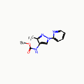 CC(C)(C)OC(=O)Nc1cn(-c2ccccn2)nc1C(F)(F)F